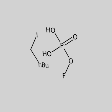 CCCCCI.O=P(O)(O)OF